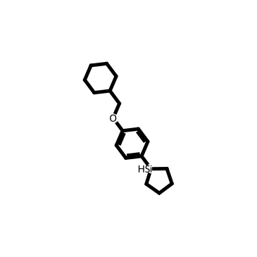 c1cc([SiH]2CCCC2)ccc1OCC1CCCCC1